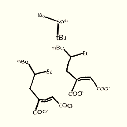 CCCCC(CC)C/C(=C/C(=O)[O-])C(=O)[O-].CCCCC(CC)C/C(=C/C(=O)[O-])C(=O)[O-].C[C](C)(C)[Sn+4][C](C)(C)C